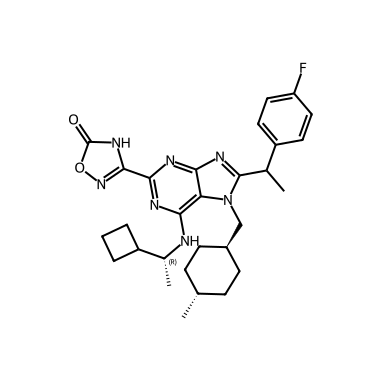 CC(c1ccc(F)cc1)c1nc2nc(-c3noc(=O)[nH]3)nc(N[C@H](C)C3CCC3)c2n1C[C@H]1CC[C@H](C)CC1